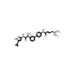 CC(C(=O)Nc1cc(C2CC2)[nH]n1)c1cccc(-c2ccc(NC(=O)/C=C/CN(C)C)cn2)c1